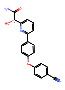 N#Cc1ccc(Oc2ccc(-c3cccc([C@H](O)C(N)=O)n3)cc2)cc1